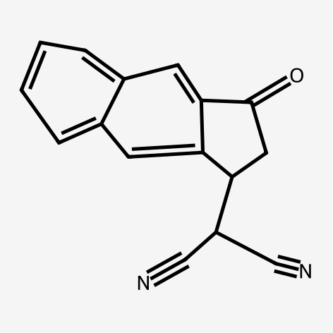 N#CC(C#N)C1CC(=O)c2cc3ccccc3cc21